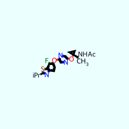 CC(=O)N[C@@H](C)C1(Oc2cnc(Oc3ccc4nc(C(C)C)sc4c3F)cn2)CC1